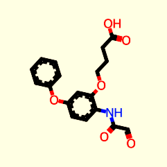 O=CC(=O)Nc1ccc(Oc2ccccc2)cc1OCCCC(=O)O